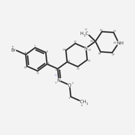 CCO/N=C(/c1ccc(Br)cc1)C1CCN(C2(C)CCNCC2)CC1